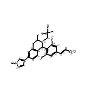 CC1Cc2cc(-c3cnn(C)c3)ccc2C(c2c(F)cc(/C=C/C=O)cc2F)N1CC(C)(C)F